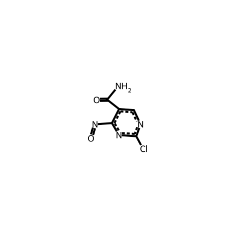 NC(=O)c1cnc(Cl)nc1N=O